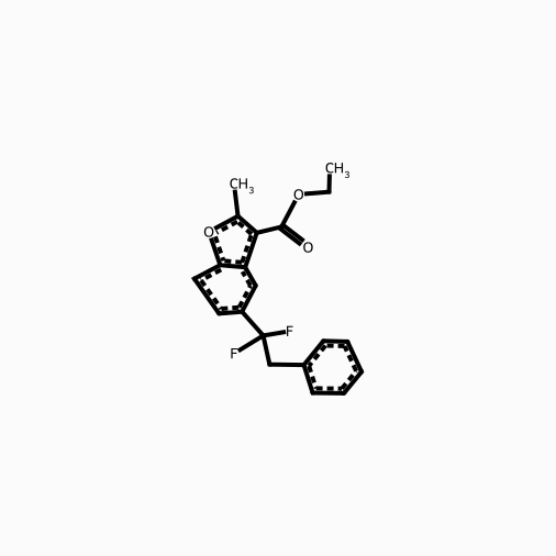 CCOC(=O)c1c(C)oc2ccc(C(F)(F)Cc3ccccc3)cc12